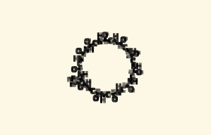 CCCC1(CCC)NC(=O)CNC(=O)NC(=O)CNC(=O)CNC(=O)CNC(=O)CNC(=O)CNC(=O)CNC(=O)CNC(=O)CNC1=O